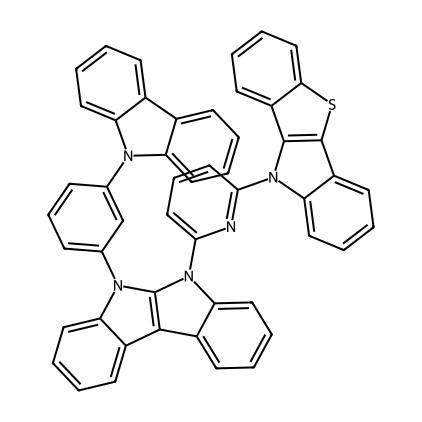 c1cc(-n2c3ccccc3c3ccccc32)cc(-n2c3ccccc3c3c4ccccc4n(-c4cccc(-n5c6ccccc6c6sc7ccccc7c65)n4)c32)c1